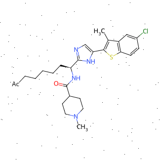 CC(=O)CCCCC[C@H](NC(=O)C1CCN(C)CC1)c1ncc(-c2sc3ccc(Cl)cc3c2C)[nH]1